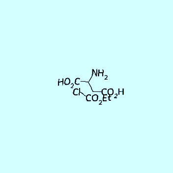 CCOC(=O)Cl.NC(CC(=O)O)C(=O)O